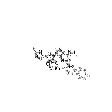 Cc1noc([C@H]2O[C@@H](n3cnc4c(N)nc(N(CO)CCc5ccccc5)nc43)[C@H](O)[C@@H]2OC=O)n1